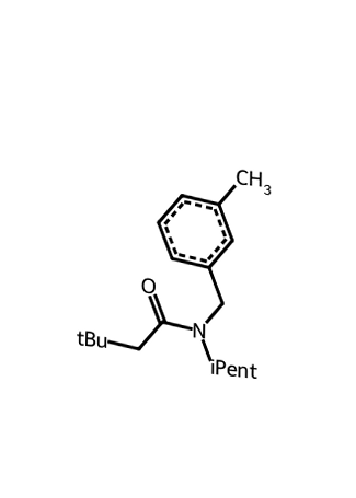 CCCC(C)N(Cc1cccc(C)c1)C(=O)CC(C)(C)C